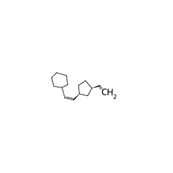 C=C[C@@H]1CC[C@H](/C=C\C2CCCCC2)C1